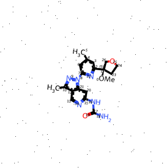 CO[C@]1(c2cc(C)cc(-n3nc(C)c4cnc(NC(N)=O)cc43)n2)CCOC1